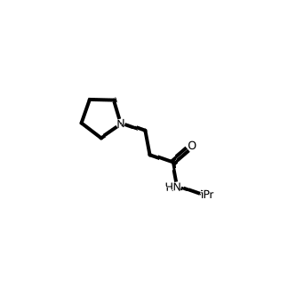 CC(C)NC(=O)CCN1CCCC1